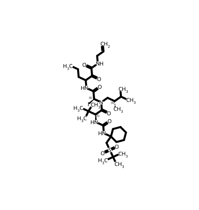 C=CCNC(=O)C(=O)C(CCC)NC(=O)[C@H](I)N(C[C@@H](C)C(C)C)C(=O)[C@@H](NC(=O)NC1(CS(=O)(=O)C(C)(C)C)CCCCC1)C(C)(C)C